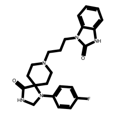 O=C1NCN(c2ccc(F)cc2)C12CCN(CCCn1c(=O)[nH]c3ccccc31)CC2